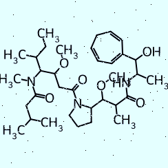 CCC(C)C(C(CC(=O)N1CCCC1C(OC)C(C)C(=O)NC(C)C(O)C1=CC=CCC=C1)OC)N(C)C(=O)CC(C)C